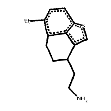 CCc1ccc2scc3c2c1CCC3CCN